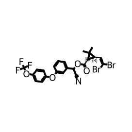 CC1(C)[C@H](C(=O)OC(C#N)c2cccc(Oc3ccc(OC(F)(F)F)cc3)c2)[C@@H]1C=C(Br)Br